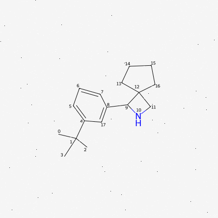 CC(C)(C)c1cccc(C2NCC23CCCC3)c1